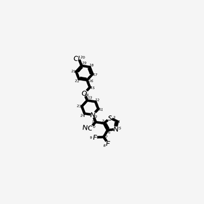 N#CC(c1scnc1C(F)F)N1CCC(OCc2ccc(Cl)cc2)CC1